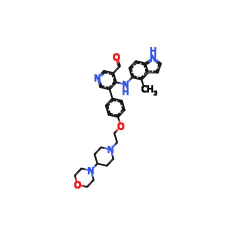 Cc1c(Nc2c(C=O)cncc2-c2ccc(OCCN3CCC(N4CCOCC4)CC3)cc2)ccc2[nH]ccc12